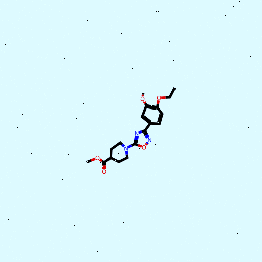 CCOc1ccc(-c2noc(N3CCC(C(=O)OC)CC3)n2)cc1OC